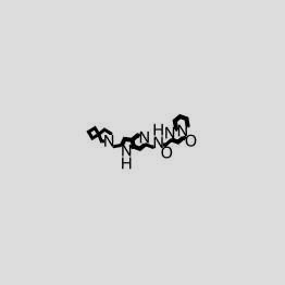 O=C(NCc1cc2[nH]c(CN3CCC4(CCC4)C3)cc2cn1)c1cc(=O)n2ccccc2n1